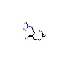 C/C=C(\C=C=C[C@@H]1CC1C)C=C=CN(C)C